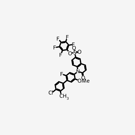 COc1cc(-c2ccc(Cl)c(C)c2)c(F)cc1-n1c(=O)ccc2cc(S(=O)(=O)Oc3c(F)c(F)c(F)c(F)c3F)ccc21